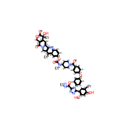 CCNC(=O)c1nnc(-c2cc(C(C)C)c(O)cc2O)n1-c1ccc(Oc2ccc(C(=O)N3CCC(N(CC)C(=O)Oc4ccc5nc6c(c(CC)c5c4)Cn4c-6cc5c(c4=O)COC(=O)C5(O)CC)CC3)cc2)cc1